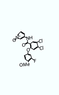 COc1ccc(Oc2cc(Cl)c(Cl)cc2C(=O)Nc2ccc[n+]([O-])c2)cc1F